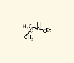 C=CCCOC(C)CCNCCOCC